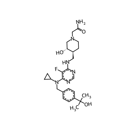 CC(C)(O)c1ccc(CN(c2ncnc(NC[C@@H]3CCN(CC(N)=O)C[C@H]3O)c2F)C2CC2)cc1